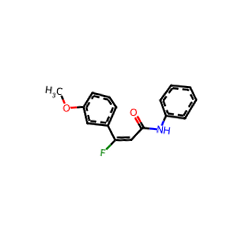 COc1cccc(/C(F)=C\C(=O)Nc2ccccc2)c1